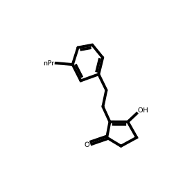 CCCc1cccc(CCC2=C(O)CCC2=O)c1